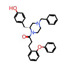 O=C(CCc1ccccc1Oc1ccccc1)N1CCN(Cc2ccccc2)C[C@H]1Cc1ccc(O)cc1